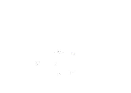 C=Cc1ccccc1CNC(CC)[Si](OC)(OC)OC